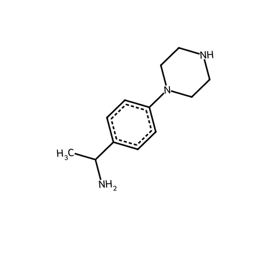 CC(N)c1ccc(N2CCNCC2)cc1